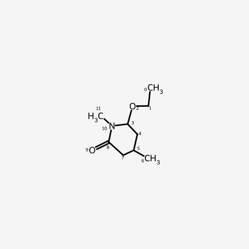 CCOC1CC(C)CC(=O)N1C